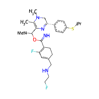 CNC(OC(=N)C1=C(F)C=C(CNCCF)CC1)C1=C(C)N(C)CC(c2ccc(SC(C)C)cc2)=N1